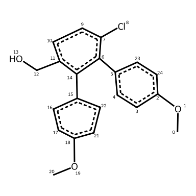 COc1ccc(-c2c(Cl)ccc(CO)c2-c2ccc(OC)cc2)cc1